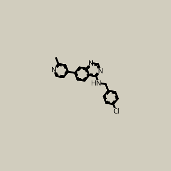 Cc1cc(-c2ccc3c(NCc4ccc(Cl)cc4)ncnc3c2)ccn1